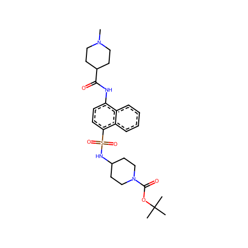 CN1CCC(C(=O)Nc2ccc(S(=O)(=O)NC3CCN(C(=O)OC(C)(C)C)CC3)c3ccccc23)CC1